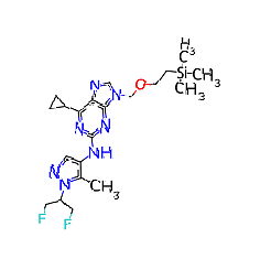 Cc1c(Nc2nc(C3CC3)c3ncn(COCC[Si](C)(C)C)c3n2)cnn1C(CF)CF